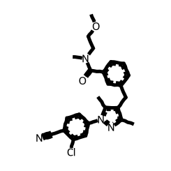 COCCN(C)C(=O)c1cccc(Cc2c(C)nn(-c3ccc(C#N)c(Cl)c3)c2C)c1